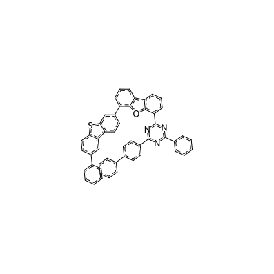 c1ccc(-c2ccc(-c3nc(-c4ccccc4)nc(-c4cccc5c4oc4c(-c6ccc7c(c6)sc6ccc(-c8ccccc8)cc67)cccc45)n3)cc2)cc1